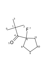 CC(C)(C)C(=O)C1(F)CCCC1